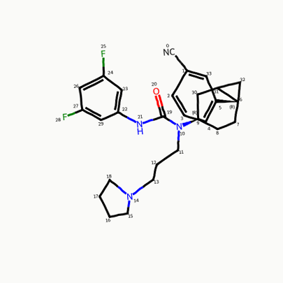 N#Cc1cccc([C@@]23CC[C@@H](N(CCCN4CCCC4)C(=O)Nc4cc(F)cc(F)c4)CC2C3)c1